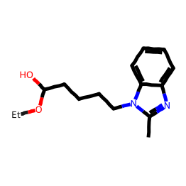 CCOC(O)CCCCn1c(C)nc2ccccc21